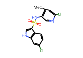 COc1cc(Cl)ncc1NS(=O)(=O)c1c[nH]c2cc(Cl)ccc12